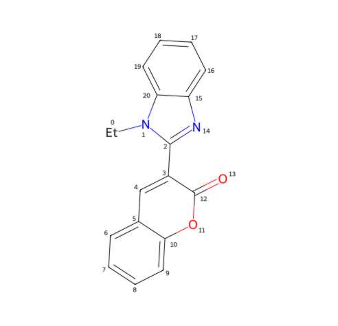 CCn1c(-c2cc3ccccc3oc2=O)nc2ccccc21